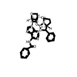 C[C@@]12CO[C@@H](C1O[P@]1OC(c3ccccc3)[C@H]3CCCN31)[C@H](n1cnc3c(NC(=O)c4ccccc4)ncnc31)O2